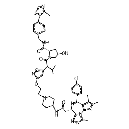 Cc1ncsc1-c1ccc(CNC(=O)[C@@H]2C[C@@H](O)CN2C(=O)[C@H](c2cc(OCCN3CCC(NC(=O)C[C@@H]4N=C(c5ccc(Cl)cc5)c5c(sc(C)c5C)-n5c(C)nnc54)CC3)no2)C(C)C)cc1